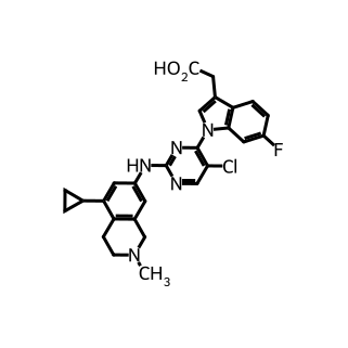 CN1CCc2c(cc(Nc3ncc(Cl)c(-n4cc(CC(=O)O)c5ccc(F)cc54)n3)cc2C2CC2)C1